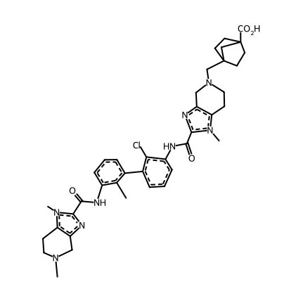 Cc1c(NC(=O)c2nc3c(n2C)CCN(C)C3)cccc1-c1cccc(NC(=O)c2nc3c(n2C)CCN(CC24CCC(C(=O)O)(CC2)C4)C3)c1Cl